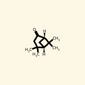 CC1(C)CC(=O)[C@H]2C[C@@H]1C2(C)C